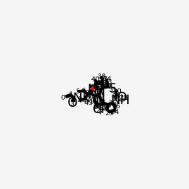 C=CC(=O)N1CCN(c2nc(=O)n3c4nc(c(Cl)cc24)-c2c(F)cccc2NC(=O)CSC(=C/C)/C3=C(\C=C)C(C)C)[C@@H](C)C1